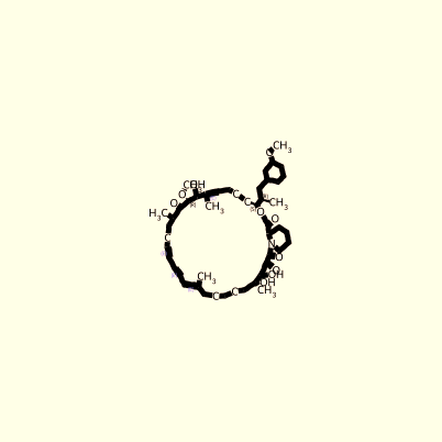 COC1CCCC(C[C@@H](C)[C@@H]2CCC/C=C(\C)C(O)[C@@H](OC)C(=O)C(C)CC/C=C/C=C/C=C(\C)CCCCCC(C)C(O)(O)C(=O)C(=O)N3CCCCC3C(=O)O2)C1